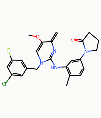 C=C1N=C(Nc2cc(N3CCCC3=O)ccc2C)N(Cc2cc(F)cc(Cl)c2)C=C1OC